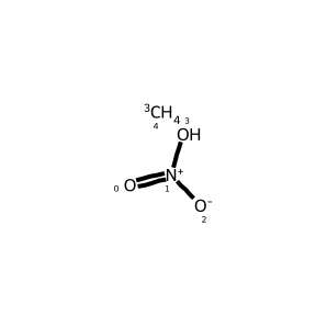 O=[N+]([O-])O.[3CH4]